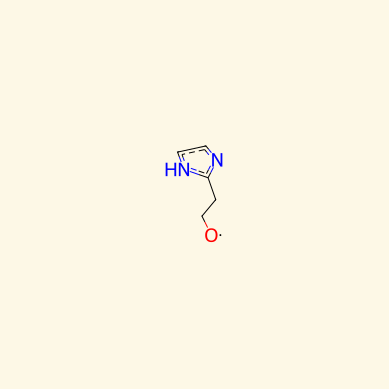 [O]CCc1ncc[nH]1